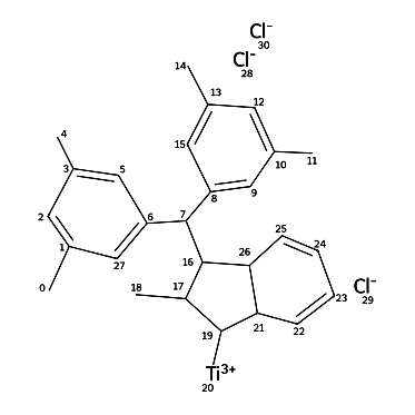 Cc1cc(C)cc(C(c2cc(C)cc(C)c2)C2C(C)[CH]([Ti+3])C3C=CC=CC32)c1.[Cl-].[Cl-].[Cl-]